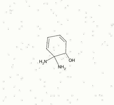 NC1(N)C=CC=CC1O